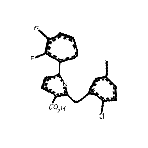 Cc1ccc(Cl)c(Cc2nc(-c3cccc(F)c3F)ccc2C(=O)O)c1